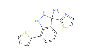 NC1(c2nccs2)NNc2c(-c3cccs3)cccc21